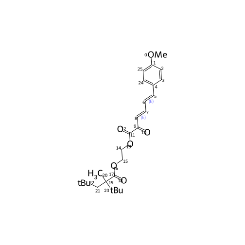 COc1ccc(/C=C/C=C/C(=O)C(=O)OCCOC(=O)C(C)(CC(C)(C)C)C(C)(C)C)cc1